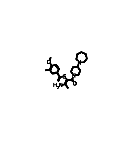 C=C(S/C(C(=O)N1CCC(N2CCCCCC2)CC1)=C(/C)N)c1ccc(OC)c(C)c1